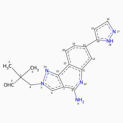 CC(C)(C=O)Cn1cc2c(N)nc3cc(-c4ccn[nH]4)ccc3c2n1